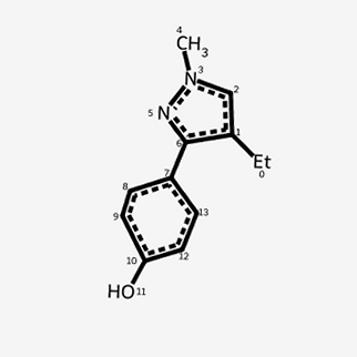 CCc1cn(C)nc1-c1ccc(O)cc1